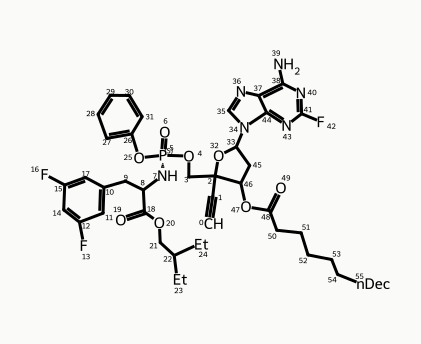 C#CC1(CO[P@@](=O)(NC(Cc2cc(F)cc(F)c2)C(=O)OCC(CC)CC)Oc2ccccc2)OC(n2cnc3c(N)nc(F)nc32)CC1OC(=O)CCCCCCCCCCCCCCC